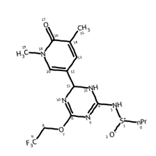 CCC[S+]([O-])NC1=NC(OCC(F)(F)F)=NC(c2cc(C)c(=O)n(C)c2)N1